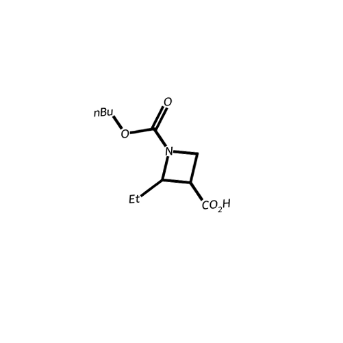 CCCCOC(=O)N1CC(C(=O)O)C1CC